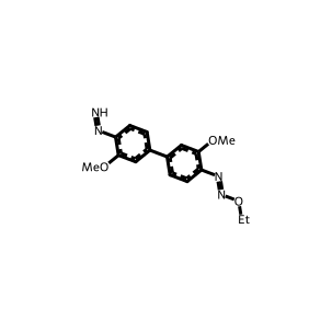 CCON=Nc1ccc(-c2ccc(N=N)c(OC)c2)cc1OC